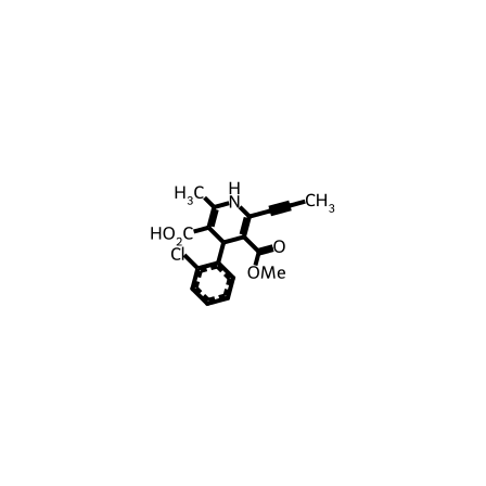 CC#CC1=C(C(=O)OC)C(c2ccccc2Cl)C(C(=O)O)=C(C)N1